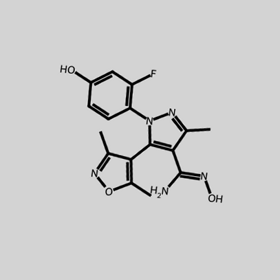 Cc1nn(-c2ccc(O)cc2F)c(-c2c(C)noc2C)c1/C(N)=N/O